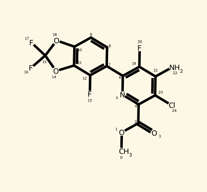 COC(=O)c1nc(-c2ccc3c(c2F)OC(F)(F)O3)c(F)c(N)c1Cl